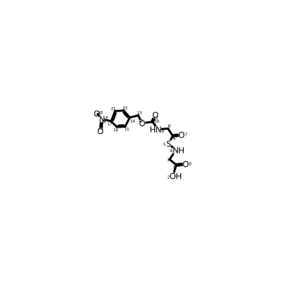 O=C(O)CNSC(=O)CNC(=O)OCc1ccc([N+](=O)[O-])cc1